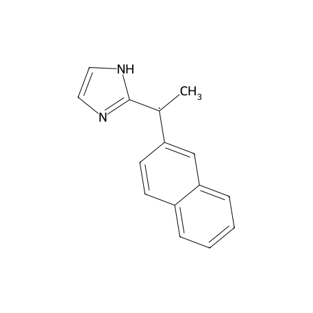 C[C](c1ccc2ccccc2c1)c1ncc[nH]1